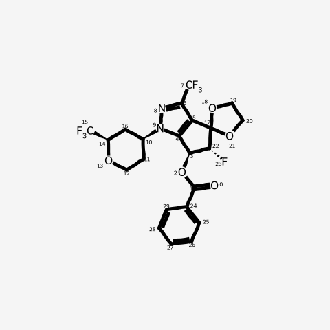 O=C(O[C@H]1c2c(c(C(F)(F)F)nn2[C@H]2CCO[C@@H](C(F)(F)F)C2)C2(OCCO2)[C@@H]1F)c1ccccc1